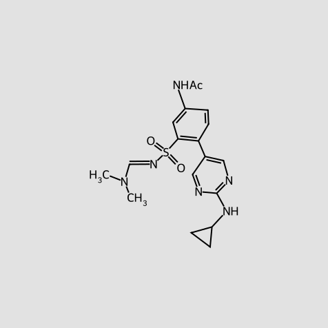 CC(=O)Nc1ccc(-c2cnc(NC3CC3)nc2)c(S(=O)(=O)N=CN(C)C)c1